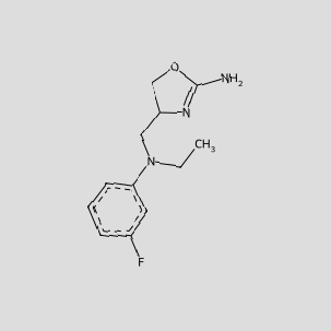 CCN(CC1COC(N)=N1)c1cccc(F)c1